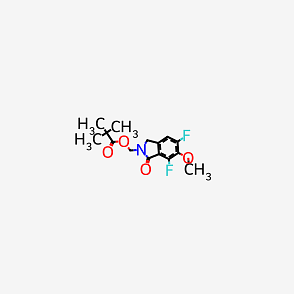 COc1c(F)cc2c(c1F)C(=O)N(COC(=O)C(C)(C)C)C2